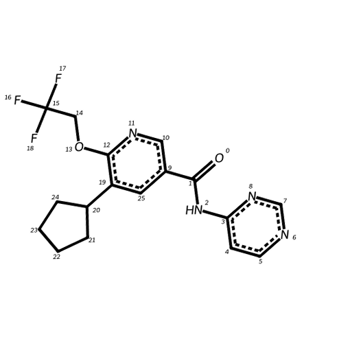 O=C(Nc1ccncn1)c1cnc(OCC(F)(F)F)c(C2CCCC2)c1